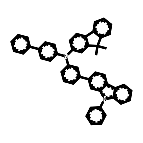 CC1(C)c2ccccc2-c2ccc(N(c3ccc(-c4ccccc4)cc3)c3cccc(-c4ccc5c6ccccc6n(-c6ccccc6)c5c4)c3)cc21